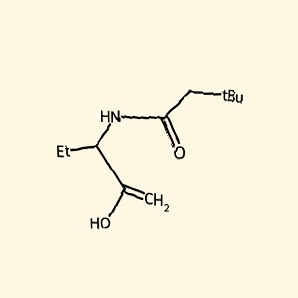 C=C(O)C(CC)NC(=O)CC(C)(C)C